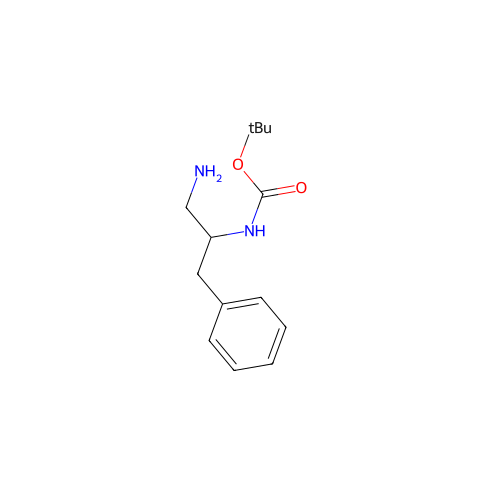 CC(C)(C)OC(=O)NC(CN)Cc1ccccc1